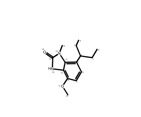 CCC(CC)c1ccc(OC)c2[nH]c(=O)n(C)c12